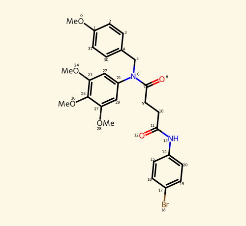 COc1ccc(CN(C(=O)CCC(=O)Nc2ccc(Br)cc2)c2cc(OC)c(OC)c(OC)c2)cc1